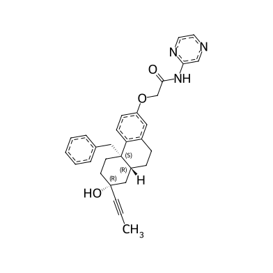 CC#C[C@@]1(O)CC[C@@]2(Cc3ccccc3)c3ccc(OCC(=O)Nc4cnccn4)cc3CC[C@@H]2C1